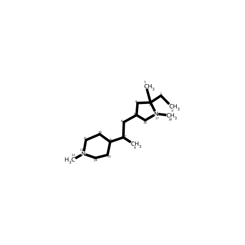 CCC1(C)CC(CC(C)C2CCN(C)CC2)CN1C